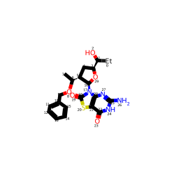 CCC(O)[C@@H]1C[C@@H](C(C)OCc2ccccc2)[C@H](n2c(=O)sc3c(=O)[nH]c(N)nc32)O1